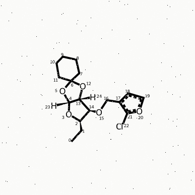 CC[C@H]1O[C@@H]2OC3(CCCCC3)O[C@@H]2[C@H]1OCc1ccoc1Cl